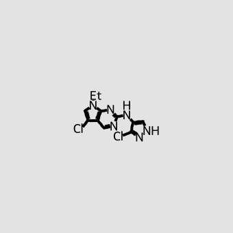 CCn1cc(Cl)c2cnc(Nc3c[nH]nc3Cl)nc21